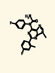 Cc1cc(F)ccc1-c1nc(N(C(N)=O)c2ccc(F)cc2)c2ncn(C)c2n1